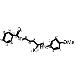 COc1ccc(NCC(O)CCCOC(=O)c2ccccc2)cc1